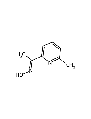 CC(=NO)c1cccc(C)n1